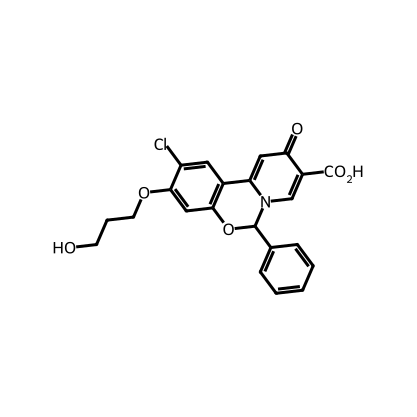 O=C(O)c1cn2c(cc1=O)-c1cc(Cl)c(OCCCO)cc1OC2c1ccccc1